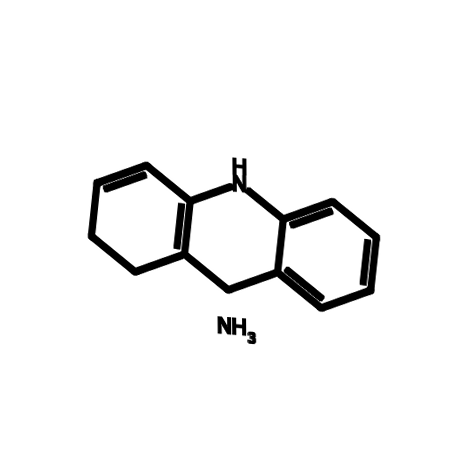 C1=CC2=C(CC1)Cc1ccccc1N2.N